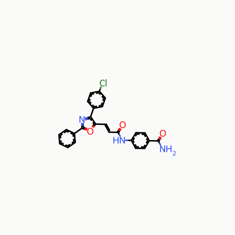 NC(=O)c1ccc(NC(=O)/C=C/c2oc(-c3ccccc3)nc2-c2ccc(Cl)cc2)cc1